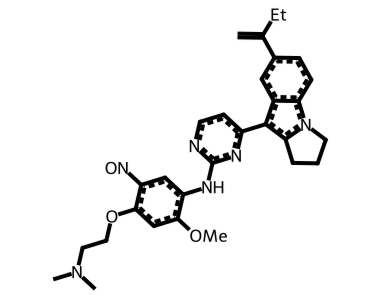 C=C(CC)c1ccc2c(c1)c(-c1ccnc(Nc3cc(N=O)c(OCCN(C)C)cc3OC)n1)c1n2CCC1